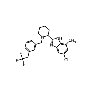 Cc1cc(Cl)cc2nc(C3CCCCN3Cc3cccc(CC(F)(F)F)c3)[nH]c12